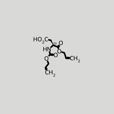 C=CCOC(=O)N[C@@H](CC(=O)O)C(=O)OCC=C